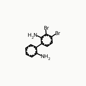 Nc1ccccc1-c1ccc(Br)c(Br)c1N